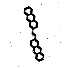 C(=C\c1ccc2cc3ccccc3cc2c1)/c1ccc2cc3ccccc3cc2c1